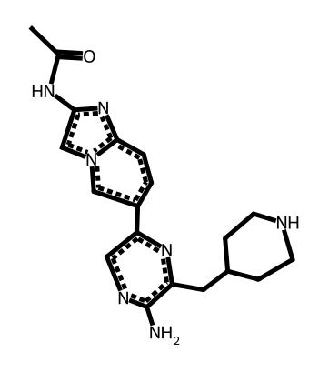 CC(=O)Nc1cn2cc(-c3cnc(N)c(CC4CCNCC4)n3)ccc2n1